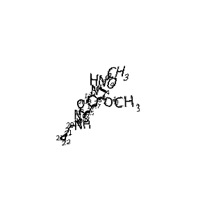 CCOc1cc(NC(C)=O)nc2ccc(/C=C3/SC(NCC4CC4)=NC3=O)cc12